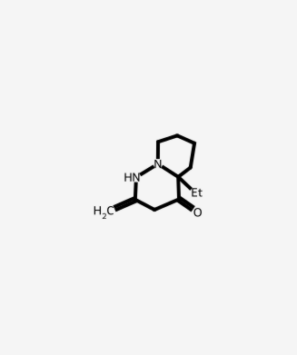 C=C1CC(=O)C2(CC)CCCCN2N1